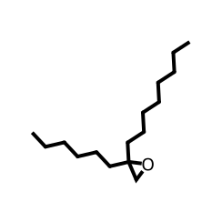 CCCCCCCCC1(CCCCCC)CO1